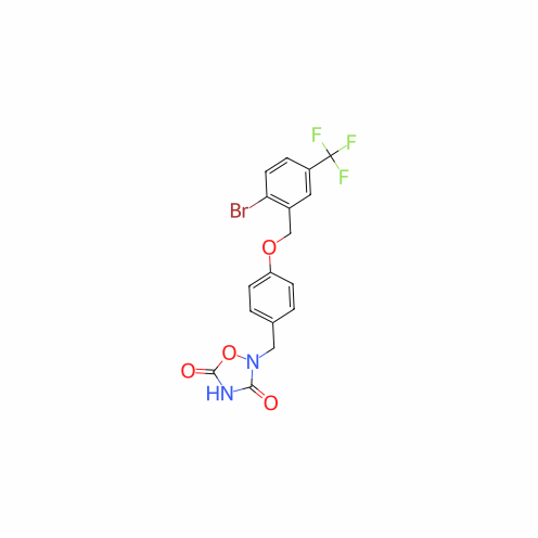 O=c1[nH]c(=O)n(Cc2ccc(OCc3cc(C(F)(F)F)ccc3Br)cc2)o1